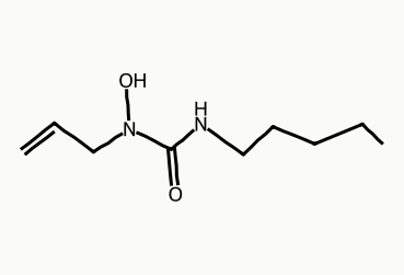 C=CCN(O)C(=O)NCCCCC